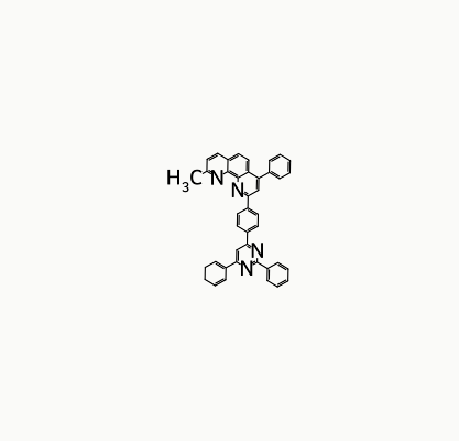 Cc1ccc2ccc3c(-c4ccccc4)cc(-c4ccc(-c5cc(C6=CCCC=C6)nc(-c6ccccc6)n5)cc4)nc3c2n1